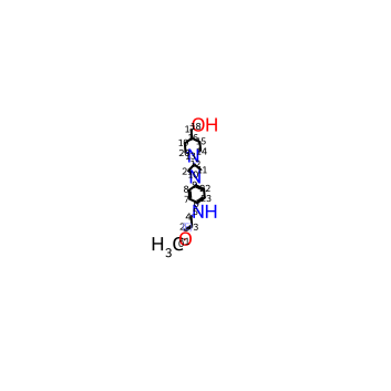 CO/C=C/CNc1ccc(N2CC(N3CCC(CO)CC3)C2)cc1